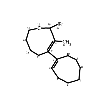 CC1=C(C2=CCCCCCC2)CCCCCC1C(C)C